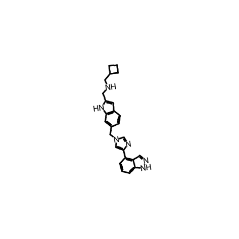 c1cc(-c2cn(Cc3ccc4cc(CNCC5CCC5)[nH]c4c3)cn2)c2cn[nH]c2c1